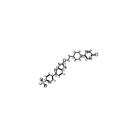 CS(=O)(=O)c1ccc(-c2ccc3nc(OCCC4CCN(c5cnc(Cl)cn5)CC4)sc3n2)cn1